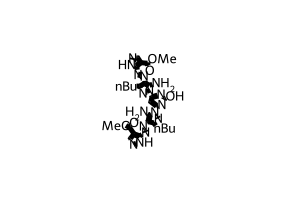 CCCCc1nn(-c2cc(-n3nc(CCCC)c(/N=N/c4[nH]ncc4C(=O)OC)c3N)nc(O)n2)c(N)c1/N=N/c1[nH]ncc1C(=O)OC